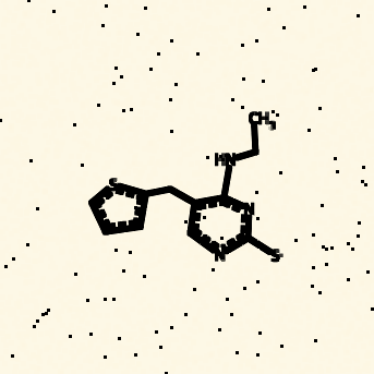 CCNc1nc([S])ncc1Cc1cccs1